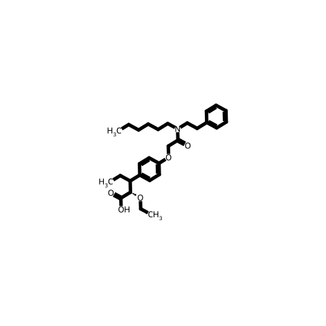 CCCCCCN(CCc1ccccc1)C(=O)COc1ccc(C(CC)[C@H](OCC)C(=O)O)cc1